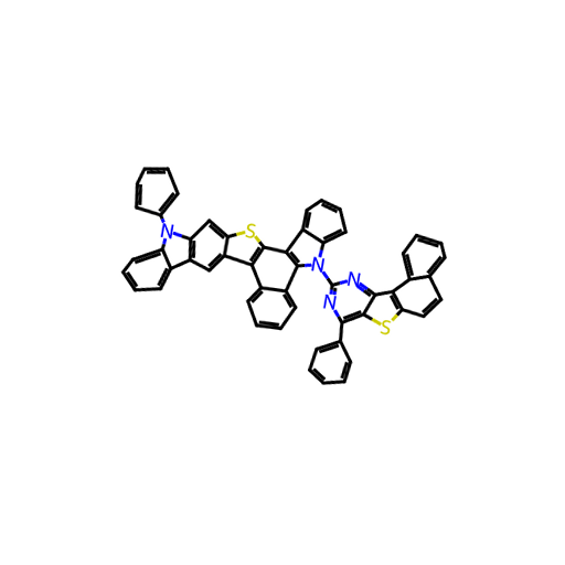 c1ccc(-c2nc(-n3c4ccccc4c4c5sc6cc7c(cc6c5c5ccccc5c43)c3ccccc3n7-c3ccccc3)nc3c2sc2ccc4ccccc4c23)cc1